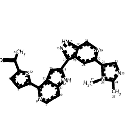 CC(=O)c1ccc(-c2nccc3[nH]c(-c4n[nH]c5cnc(-c6cnc(C)n6C)cc45)cc23)s1